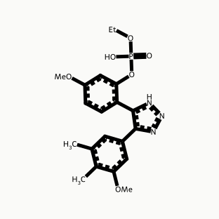 CCOP(=O)(O)Oc1cc(OC)ccc1-c1[nH]nnc1-c1cc(C)c(C)c(OC)c1